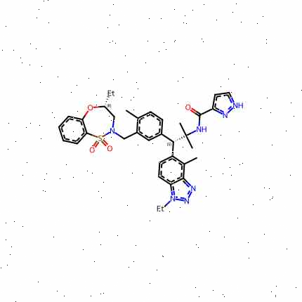 CC[C@@H]1CN(Cc2cc([C@@H](c3ccc4c(nnn4CC)c3C)C(C)(C)NC(=O)c3cc[nH]n3)ccc2C)S(=O)(=O)c2ccccc2O1